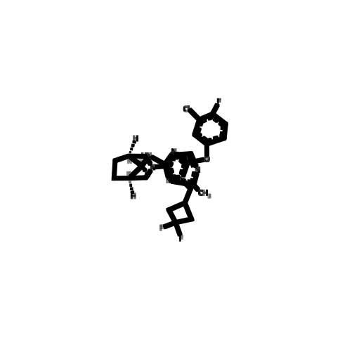 Cc1cc(N2C[C@H]3CC[C@@H](C2)[C@@H]3Nc2nc(Oc3ccc(F)c(Cl)c3)n(CC3CC(F)(F)C3)n2)ncn1